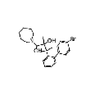 CC(C)(c1ccccc1-c1ccc(Br)cc1)C(C)(O)C(O)N1CCCCCC1